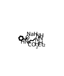 CCOC(=O)[C@H](CCCNC(=N)N)NC(=O)c1ccccc1.[NaH]